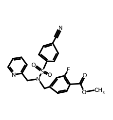 COC(=O)c1ccc(CN(Cc2ccccn2)S(=O)(=O)c2ccc(C#N)cc2)cc1F